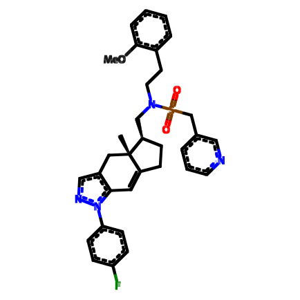 COc1ccccc1CCN(C[C@H]1CCC2=Cc3c(cnn3-c3ccc(F)cc3)C[C@@]21C)S(=O)(=O)Cc1cccnc1